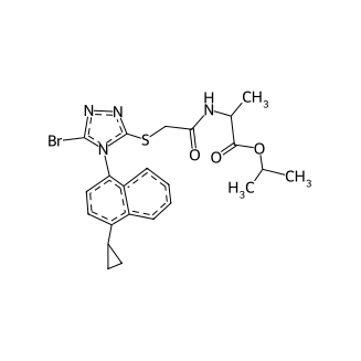 CC(C)OC(=O)C(C)NC(=O)CSc1nnc(Br)n1-c1ccc(C2CC2)c2ccccc12